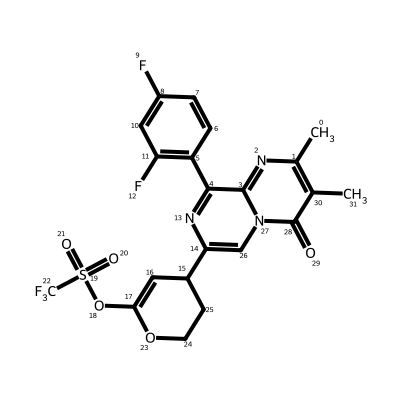 Cc1nc2c(-c3ccc(F)cc3F)nc(C3C=C(OS(=O)(=O)C(F)(F)F)OCC3)cn2c(=O)c1C